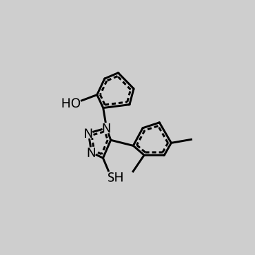 Cc1ccc(-c2c(S)nnn2-c2ccccc2O)c(C)c1